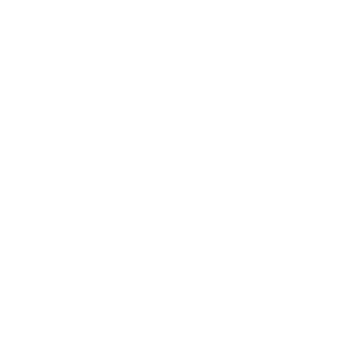 CCC[C]1CCC(C)C1